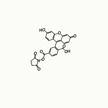 O=C(ON1C(=O)CCC1=O)c1ccc(C(=O)O)c(-c2c3ccc(=O)cc-3oc3cc(O)ccc23)c1